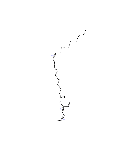 C=C/C(=C\C=C/C)SNCCCCCCCC/C=C\CCCCCCCC